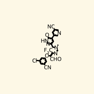 CN(/C=N\C(=C(/C=O)Oc1cc(Cl)cc(C#N)c1)C(F)(F)F)Cc1cc(-c2cncc(C#N)c2)c(=O)[nH]n1